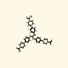 C=C(C)N1CCN(c2ccc(OP(Oc3ccc(N4CCN(C(C)=O)CC4)cc3)Oc3ccc(N4CCN(C(C)=O)CC4)cc3)cc2)CC1